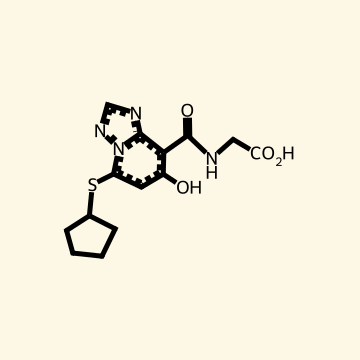 O=C(O)CNC(=O)c1c(O)cc(SC2CCCC2)n2ncnc12